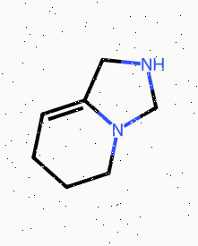 C1=C2CNCN2CCC1